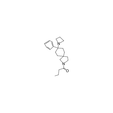 CCCC(=O)N1CCC2(CCC(c3ccccc3)(N3CCC3)CC2)C1